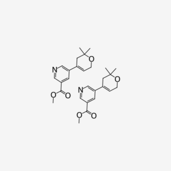 COC(=O)c1cncc(C2=CCOC(C)(C)C2)c1.COC(=O)c1cncc(C2=CCOC(C)(C)C2)c1